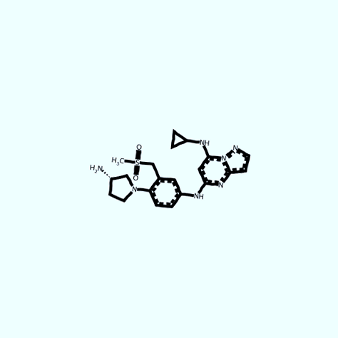 CS(=O)(=O)Cc1cc(Nc2cc(NC3CC3)n3nccc3n2)ccc1N1CC[C@H](N)C1